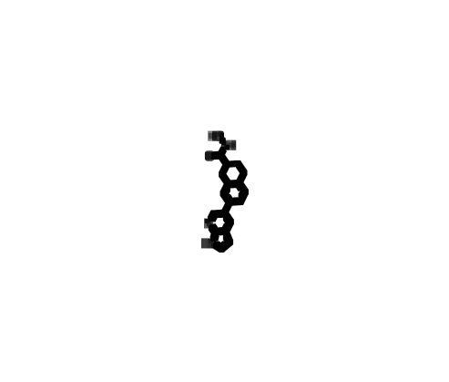 O=C(NO)C1CCc2ccc(-c3cnc4[nH]ccc4c3)cc2C1